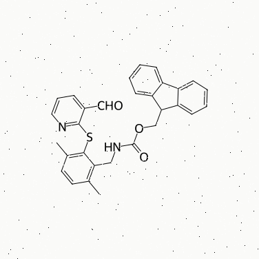 Cc1ccc(C)c(Sc2ncccc2C=O)c1CNC(=O)OCC1c2ccccc2-c2ccccc21